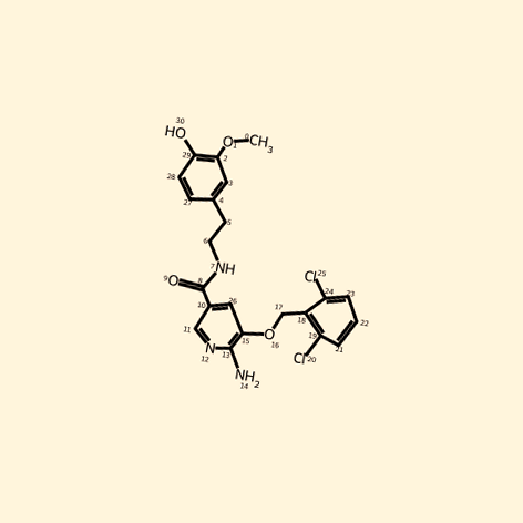 COc1cc(CCNC(=O)c2cnc(N)c(OCc3c(Cl)cccc3Cl)c2)ccc1O